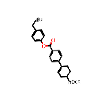 CCCCCCCCC1CC=C(c2ccc(C(=O)Oc3ccc(CC(C)CC)cc3)cc2)CC1